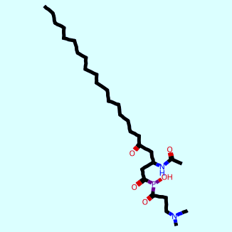 CCCCCCCCCCCCCCCCCCC(=O)CC(CC(=O)P(O)C(=O)CCN(C)C)NC(C)=O